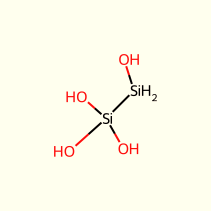 O[SiH2][Si](O)(O)O